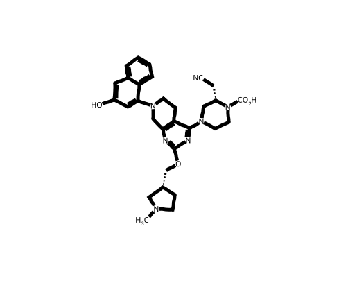 CN1CC[C@@H](COc2nc3c(c(N4CCN(C(=O)O)[C@@H](CC#N)C4)n2)CCN(c2cc(O)cc4ccccc24)C3)C1